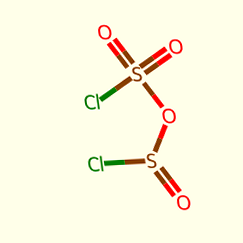 O=S(Cl)OS(=O)(=O)Cl